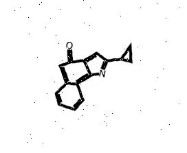 O=C1C=c2ccccc2=C2N=C(C3CC3)C=C12